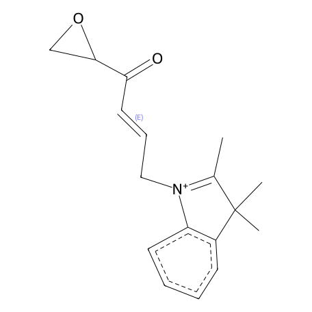 CC1=[N+](C/C=C/C(=O)C2CO2)c2ccccc2C1(C)C